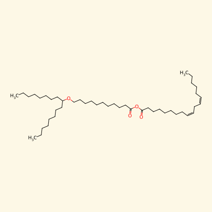 CCCCC/C=C\C/C=C\CCCCCCCC(=O)OC(=O)CCCCCCCCCCOC(CCCCCCCC)CCCCCCCC